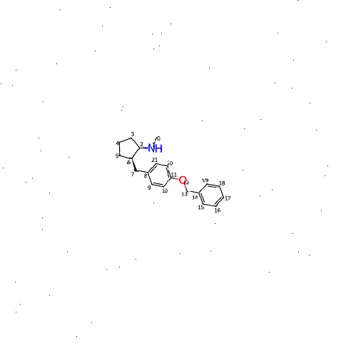 CN[C@@H]1CCC[C@@H]1Cc1ccc(OCc2ccccc2)cc1